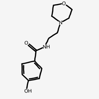 O=C(NCCN1CCOCC1)c1ccc(O)cc1